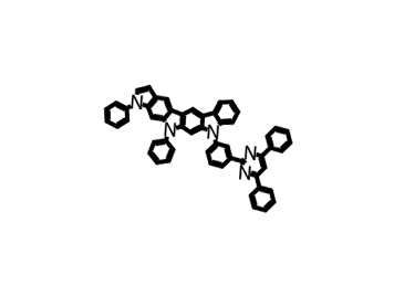 c1ccc(-c2cc(-c3ccccc3)nc(-c3cccc(-n4c5ccccc5c5cc6c7cc8ccn(-c9ccccc9)c8cc7n(-c7ccccc7)c6cc54)c3)n2)cc1